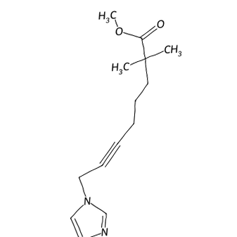 COC(=O)C(C)(C)CCCC#CCn1ccnc1